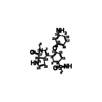 Cn1cc(-c2cc(S(C)(=N)=O)ccc2Oc2cccc(N)c2)c2cc[nH]c2c1=O